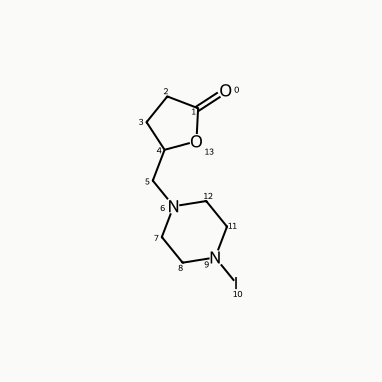 O=C1CCC(CN2CCN(I)CC2)O1